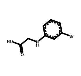 O=C(O)CNc1cccc(Br)c1